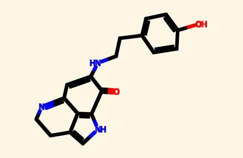 O=C1C(NCCc2ccc(O)cc2)=CC2=NCCc3c[nH]c1c32